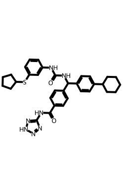 O=C(Nc1cccc(SC2CCCC2)c1)NC(c1ccc(C(=O)Nc2nn[nH]n2)cc1)c1ccc(C2CCCCC2)cc1